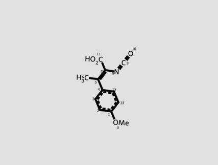 COc1ccc(/C(C)=C(\N=C=O)C(=O)O)cc1